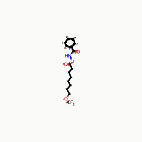 O=C(CCCCCCCOC(F)(F)F)ONC(=O)c1ccccc1